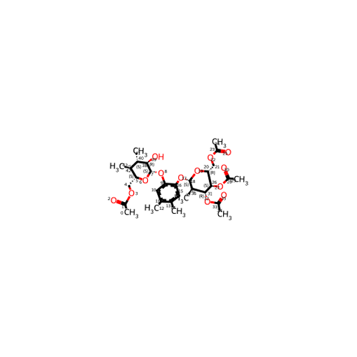 CC(=O)OC[C@H]1O[C@@H](Oc2cc(C)c(C)cc2O[C@@H]2O[C@H](COC(C)=O)[C@@H](OC(C)=O)[C@H](OC(C)=O)[C@H]2C)[C@H](O)[C@@H](C)[C@@H]1C